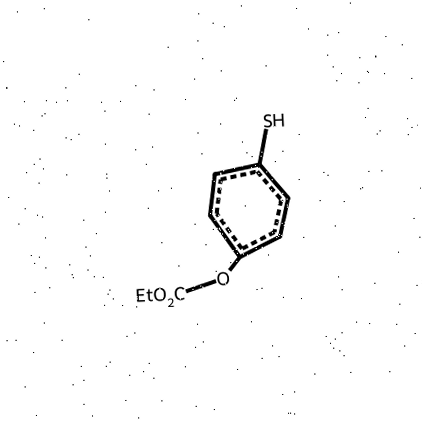 CCOC(=O)Oc1ccc(S)cc1